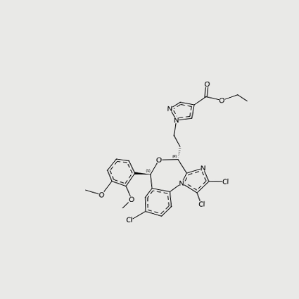 CCOC(=O)c1cnn(CC[C@H]2O[C@H](c3cccc(OC)c3OC)c3cc(Cl)ccc3-n3c2nc(Cl)c3Cl)c1